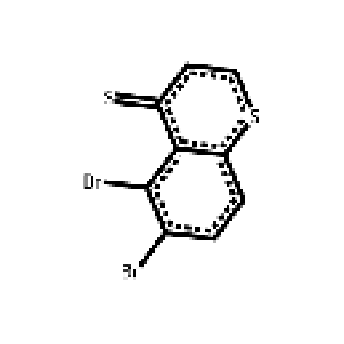 S=c1ccsc2ccc(Br)c(Br)c12